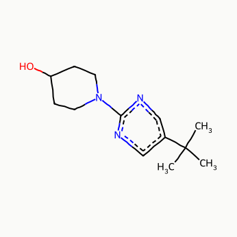 CC(C)(C)c1cnc(N2CCC(O)CC2)nc1